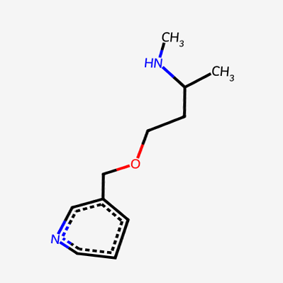 CNC(C)CCOCc1cccnc1